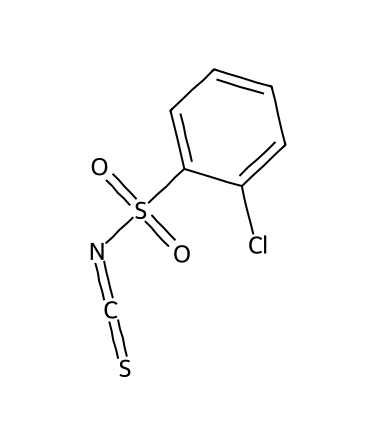 O=S(=O)(N=C=S)c1ccccc1Cl